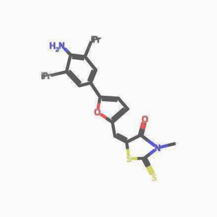 CC(C)c1cc(-c2ccc(/C=C3/SC(=S)N(C)C3=O)o2)cc(C(C)C)c1N